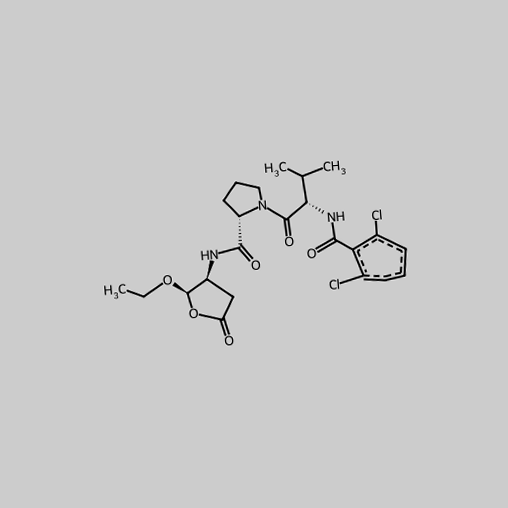 CCO[C@@H]1OC(=O)C[C@@H]1NC(=O)[C@@H]1CCCN1C(=O)[C@@H](NC(=O)c1c(Cl)cccc1Cl)C(C)C